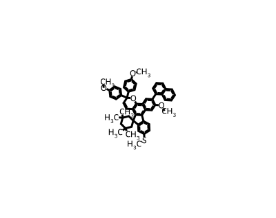 COc1ccc(C2(c3ccc(OC)cc3)C=Cc3c4c(c5cc(OC)c(-c6cccc7ccccc67)cc5c3O2)-c2ccc(SC)cc2C42CC(C)(C)CC(C)(C)C2)cc1